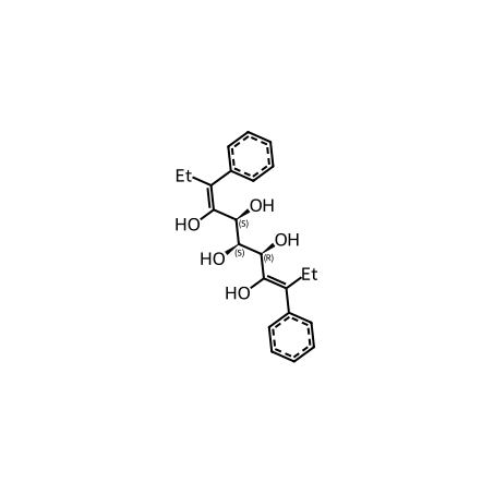 CCC(=C(O)[C@@H](O)[C@H](O)[C@@H](O)C(O)=C(CC)c1ccccc1)c1ccccc1